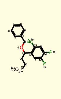 CCOC(=O)CCC(OCc1ccccc1)c1cc(F)c(F)cc1Br